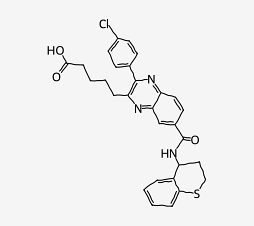 O=C(O)CCCCc1nc2cc(C(=O)NC3CCSc4ccccc43)ccc2nc1-c1ccc(Cl)cc1